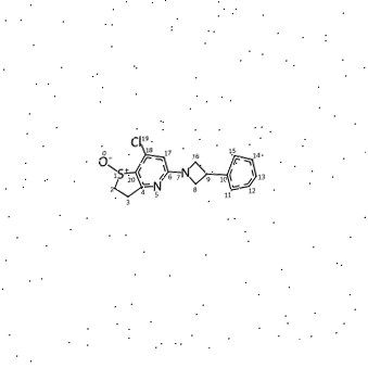 [O-][S+]1CCc2nc(N3CC(c4ccccc4)C3)cc(Cl)c21